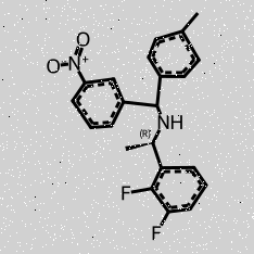 Cc1ccc(C(N[C@H](C)c2cccc(F)c2F)c2cccc([N+](=O)[O-])c2)cc1